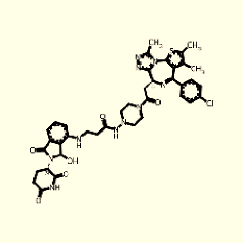 Cc1sc2c(c1C)C(c1ccc(Cl)cc1)=N[C@@H](CC(=O)N1CCN(NC(=O)CCNc3cccc4c3C(O)N([C@H]3CCC(=O)NC3=O)C4=O)CC1)c1nnc(C)n1-2